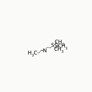 CC/C=N/CCS[Si](C)(C)C